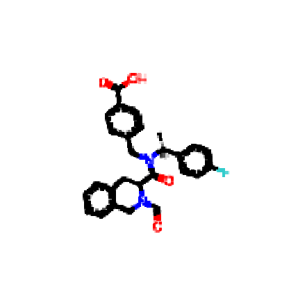 C[C@H](c1ccc(F)cc1)N(Cc1ccc(C(=O)O)cc1)C(=O)C1Cc2ccccc2CN1C=O